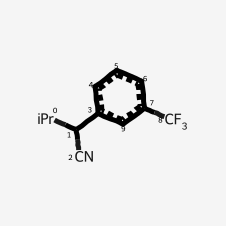 CC(C)C(C#N)c1cccc(C(F)(F)F)c1